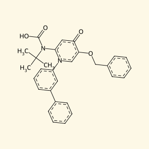 CC(C)(C)N(C(=O)O)c1cc(=O)c(OCc2ccccc2)cn1-c1cccc(-c2ccccc2)c1